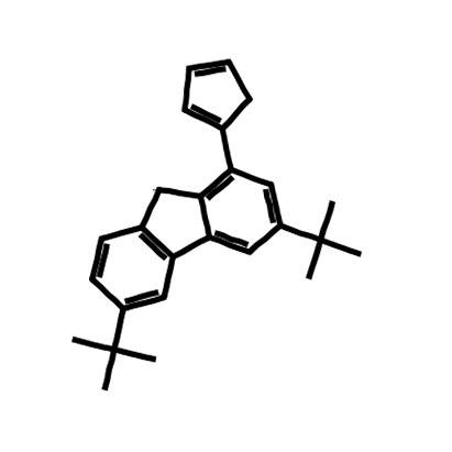 CC(C)(C)c1ccc2c(c1)-c1cc(C(C)(C)C)cc(C3=CC=CC3)c1[CH]2